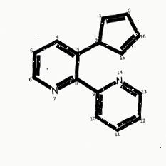 C1=CC(c2cccnc2-c2ccccn2)C=C1